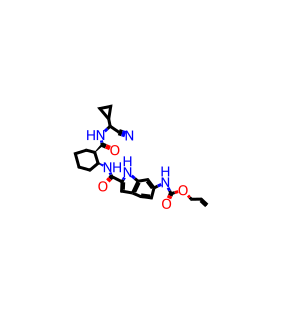 C=CCOC(=O)Nc1ccc2cc(C(=O)N[C@H]3CCCC[C@H]3C(=O)NC(C#N)C3CC3)[nH]c2c1